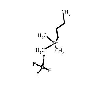 CCCC[P+](C)(C)C.F[B-](F)(F)F